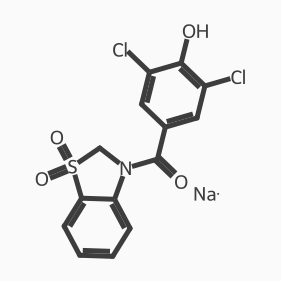 O=C(c1cc(Cl)c(O)c(Cl)c1)N1CS(=O)(=O)c2ccccc21.[Na]